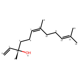 C=C[C@@](C)(O)CCC=C(C)CCC=C(C)C